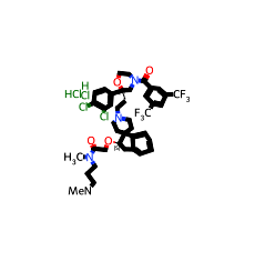 CNCCCN(C)C(=O)CO[C@H]1Cc2ccccc2C12CCN(CC[C@@]1(c3ccc(Cl)c(Cl)c3)CN(C(=O)c3cc(C(F)(F)F)cc(C(F)(F)F)c3)CCO1)CC2.Cl.Cl